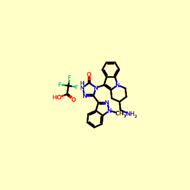 Cn1nc(-c2n[nH]c(=O)n2-c2c3n(c4ccccc24)CCC(CN)C3)c2ccccc21.O=C(O)C(F)(F)F